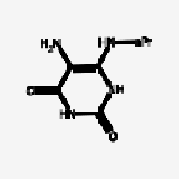 CCCNc1[nH]c(=O)[nH]c(=O)c1N